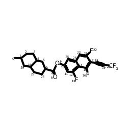 CC1CCC2CC(C(=O)Oc3cc(F)c4c(F)c(C#CC(F)(F)F)c(F)cc4c3)CCC2C1